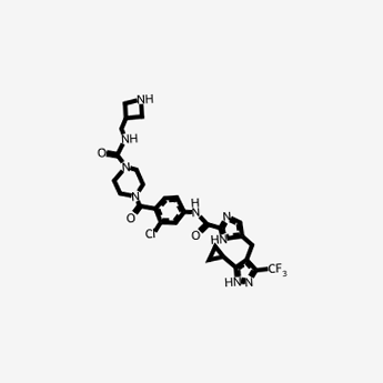 O=C(Nc1ccc(C(=O)N2CCN(C(=O)NCC3CNC3)CC2)c(Cl)c1)c1ncc(Cc2c(C(F)(F)F)n[nH]c2C2CC2)[nH]1